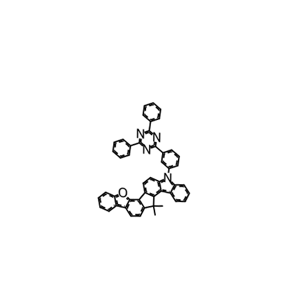 CC1(C)c2ccc3c(oc4ccccc43)c2-c2ccc3c(c21)c1ccccc1n3-c1cccc(-c2nc(-c3ccccc3)nc(-c3ccccc3)n2)c1